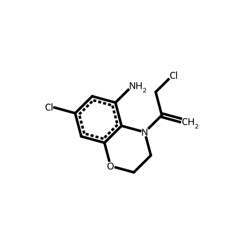 C=C(CCl)N1CCOc2cc(Cl)cc(N)c21